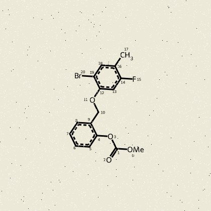 COC(=O)Oc1ccccc1COc1cc(F)c(C)cc1Br